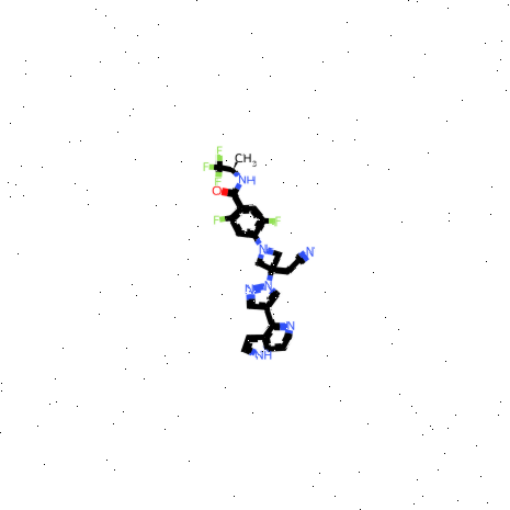 C[C@H](NC(=O)c1cc(F)c(N2CC(CC#N)(n3cc(-c4nccc5[nH]ccc45)cn3)C2)cc1F)C(F)(F)F